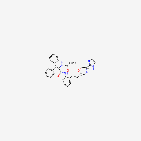 COC(=O)NC(C(=O)Nc1ccccc1CC[C@@H]1CN[C@H](c2ncc[nH]2)CO1)C(c1ccccc1)c1ccccc1